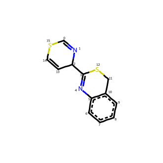 [C]1=NC(C2=Nc3ccccc3CS2)C=CS1